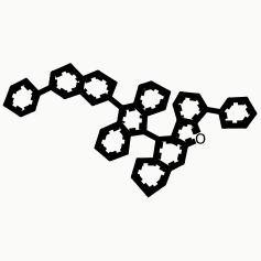 c1ccc(-c2ccc3ccc(-c4c5ccccc5c(-c5c6ccccc6cc6oc7c(-c8ccccc8)cccc7c56)c5ccccc45)cc3c2)cc1